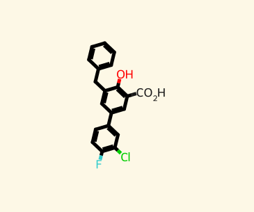 O=C(O)c1cc(-c2ccc(F)c(Cl)c2)cc(Cc2ccccc2)c1O